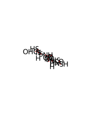 O=C[C@H](CS)NSSCCNC(=O)c1cccnc1-c1ncccc1C(=O)NCCSN[C@@H](CS)C(=O)S